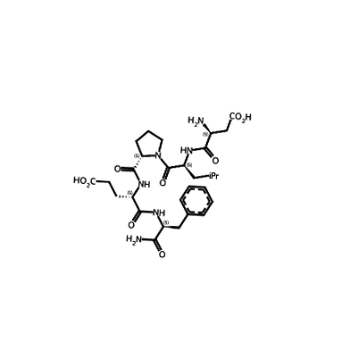 CC(C)C[C@H](NC(=O)[C@@H](N)CC(=O)O)C(=O)N1CCC[C@H]1C(=O)N[C@@H](CCC(=O)O)C(=O)N[C@@H](Cc1ccccc1)C(N)=O